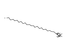 [CH2]CCCCCCCCCCCCCCCCCCCCCCCCC[Si](C)(C)C